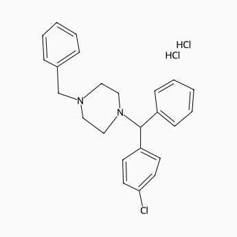 Cl.Cl.Clc1ccc(C(c2ccccc2)N2CCN(Cc3ccccc3)CC2)cc1